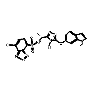 CCn1c(Oc2ccc3cc[nH]c3c2)nnc1[C@@H](C)NS(=O)(=O)c1ccc(Cl)c2nonc12